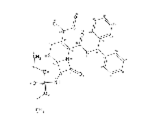 CCOP(=O)(NC1C(=O)N2C(C(=O)OC(c3ccccc3)c3ccccc3)=C(C(Cl)C=O)CSC12)OCC